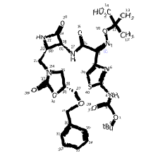 CC(C)(C)OC(=O)Nc1nc(/C(=N/OC(C)(C)C(=O)O)C(=O)N[C@@H]2C(=O)N[C@@H]2CN2C[C@H](COCc3ccccc3)OC2=O)cs1